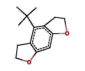 CC(C)(C)c1c2c(cc3c1CCO3)OCC2